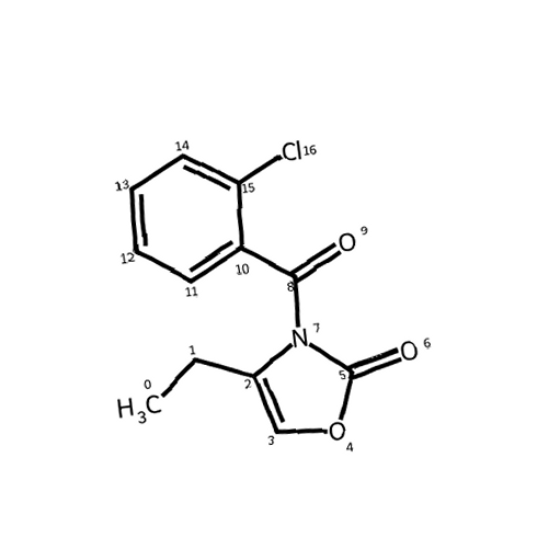 CCc1coc(=O)n1C(=O)c1ccccc1Cl